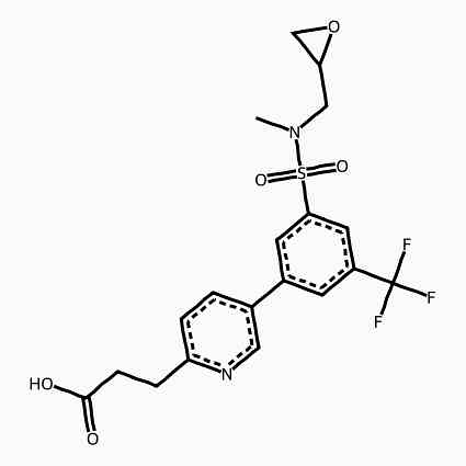 CN(CC1CO1)S(=O)(=O)c1cc(-c2ccc(CCC(=O)O)nc2)cc(C(F)(F)F)c1